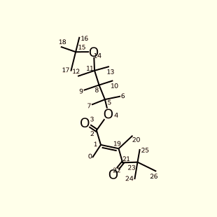 CC(C(=O)OC(C)(C)C(C)(C)C(C)(C)OC(C)(C)C)=C(C)C(=O)C(C)(C)C